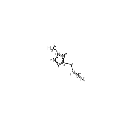 Cn1ncc(CN=[N+]=[N-])n1